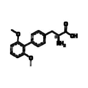 COc1cccc(OC)c1-c1ccc(C[C@H](N)C(=O)O)cc1